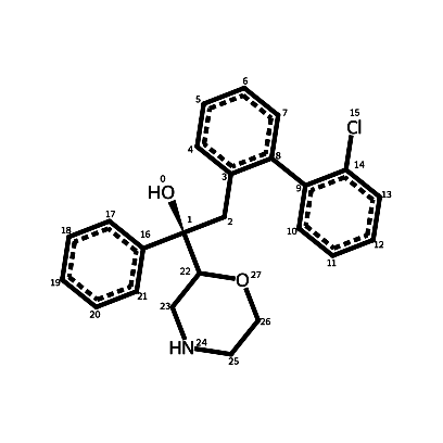 O[C@](Cc1ccccc1-c1ccccc1Cl)(c1ccccc1)C1CNCCO1